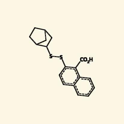 O=C(O)c1c(SSC2CC3CCC2C3)ccc2ccccc12